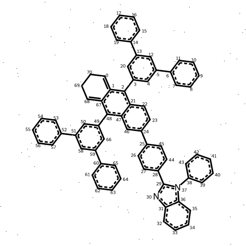 C1=c2c(-c3cc(-c4ccccc4)cc(-c4ccccc4)c3)c3ccc(-c4ccc(-c5nc6ccccc6n5-c5ccccc5)cc4)cc3c(-c3cc(-c4ccccc4)cc(-c4ccccc4)c3)c2=CCC1